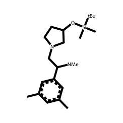 CNC(CN1CCC(O[Si](C)(C)C(C)(C)C)C1)c1cc(C)cc(C)c1